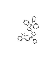 CC1(C)c2ccccc2-c2ccc(N(c3ccccc3)c3cccc(-c4ccc5c(c4)C(c4ccccc4)(c4ccccc4)c4ccccc4-5)c3)cc21